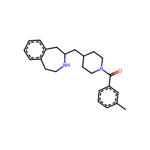 Cc1cccc(C(=O)N2CCC(CC3Cc4ccccc4CCN3)CC2)c1